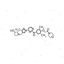 Cc1cc(Nc2nccc(-n3cc(CN4CC[C@@H](O)C4)c(C)n3)n2)cc(C)c1OCC(=O)N1CCOCC1